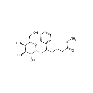 NOC(=O)CCCC(C[C@H]1O[C@H](CO)[C@H](O)[C@H](O)[C@H]1O)c1ccccc1